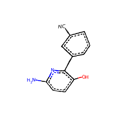 N#Cc1cccc(-c2nc(N)ccc2O)c1